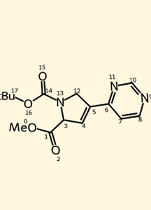 COC(=O)C1C=C(c2ccncn2)CN1C(=O)OC(C)(C)C